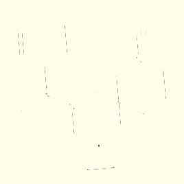 CN1CCCC2(C1)CN(C(=O)c1ccccc1)CC1(CC1)O2